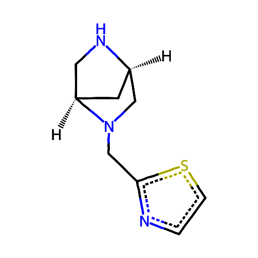 c1csc(CN2C[C@H]3C[C@@H]2CN3)n1